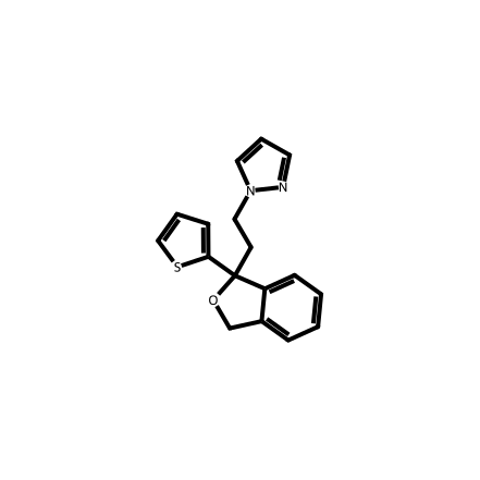 c1csc(C2(CCn3cccn3)OCc3ccccc32)c1